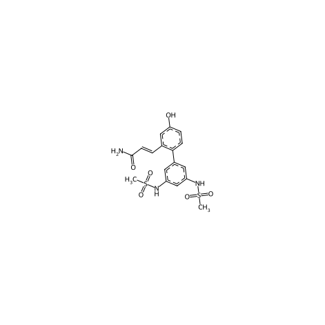 CS(=O)(=O)Nc1cc(NS(C)(=O)=O)cc(-c2ccc(O)cc2C=CC(N)=O)c1